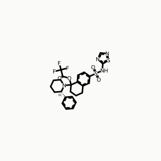 O=C(OC1(N2CCCC[C@H]2c2ccccc2)CCCc2cc(S(=O)(=O)Nc3ncns3)ccc21)C(F)(F)F